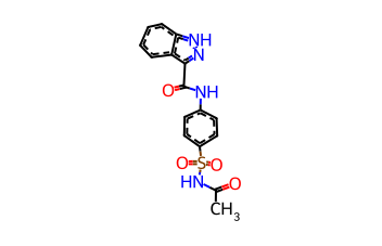 CC(=O)NS(=O)(=O)c1ccc(NC(=O)c2n[nH]c3ccccc23)cc1